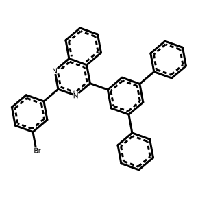 Brc1cccc(-c2nc(-c3cc(-c4ccccc4)cc(-c4ccccc4)c3)c3ccccc3n2)c1